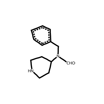 O=[C]N(Cc1ccccc1)C1CCNCC1